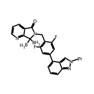 BC1(B)c2ncccc2C(=O)N1Cc1c(F)cc(-c2cccc3nn(C(C)C)cc23)cc1F